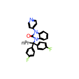 CCCC(c1ccc(F)cc1)(c1ccc(F)cc1)n1c(=O)n(-c2ccncc2)c2ccccc21